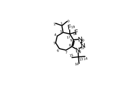 CC(C)C1CCCCc2c(nnn2C(C)(C)C)C1(F)F